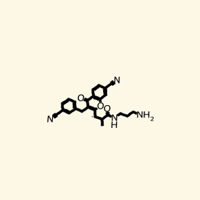 CC([CH]c1oc2cc(C#N)ccc2c(=O)c1Cc1cccc(C#N)c1)C(=O)NCCCN